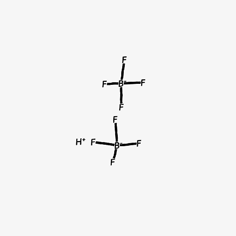 F[B-](F)(F)F.F[B-](F)(F)F.[H+]